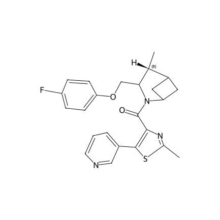 Cc1nc(C(=O)N2C3CC(C3)[C@@H](C)C2COc2ccc(F)cc2)c(-c2cccnc2)s1